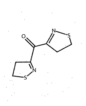 O=C(C1=NSCC1)C1=NSCC1